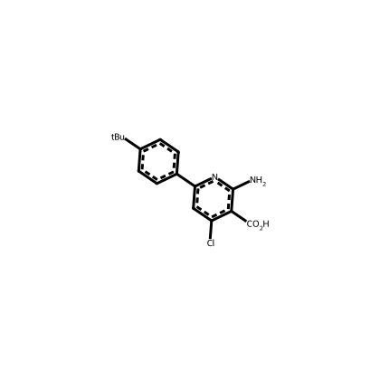 CC(C)(C)c1ccc(-c2cc(Cl)c(C(=O)O)c(N)n2)cc1